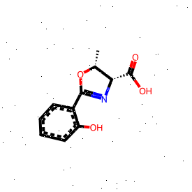 C[C@H]1OC(c2ccccc2O)=N[C@H]1C(=O)O